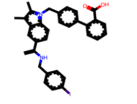 C=C(NCc1ccc(I)cc1)c1ccc2c(c1)c(C)c(C)n2Cc1ccc(-c2ccccc2C(=O)O)cc1